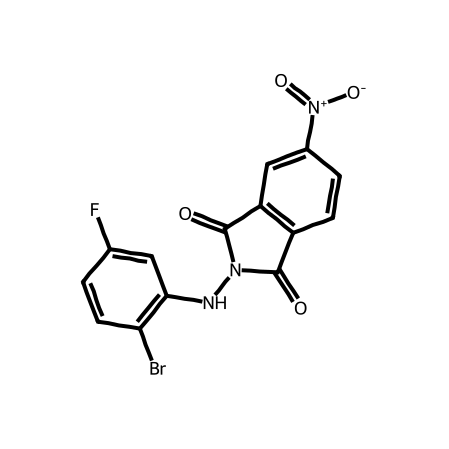 O=C1c2ccc([N+](=O)[O-])cc2C(=O)N1Nc1cc(F)ccc1Br